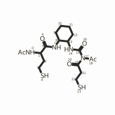 CC(=O)NC(CCS)C(=O)NC1CCCCC1NC(=O)N(C(C)=O)C(=O)CCS